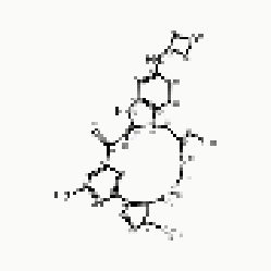 Cc1cc2cc(n1)-c1cnn(C)c1OCCCC(CF)CN1/C(=N/C2=O)Nc2cc(NC3COC3)ccc21